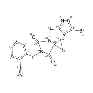 N#Cc1ccccc1CN1C(=O)N(Cc2nnc(Br)s2)C2(CC2)C1=O